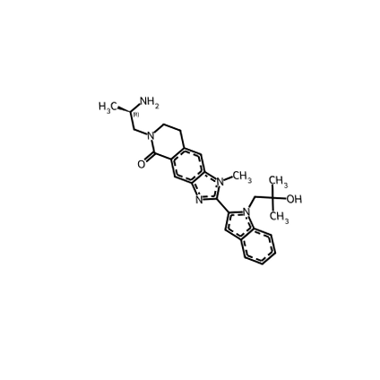 C[C@@H](N)CN1CCc2cc3c(cc2C1=O)nc(-c1cc2ccccc2n1CC(C)(C)O)n3C